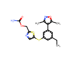 CCc1cc(Sc2cnc(COC(N)=O)s2)cc(-c2c(C)noc2C)c1